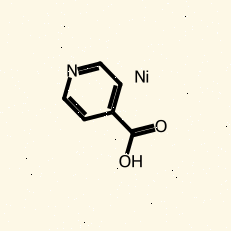 O=C(O)c1ccncc1.[Ni]